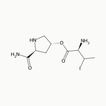 CC(I)[C@H](N)C(=O)O[C@H]1CN[C@H](C(N)=O)C1